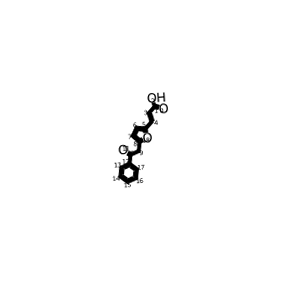 O=C(O)/C=C/c1ccc(CC(=O)c2ccccc2)o1